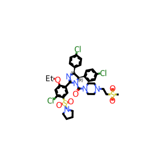 CCOc1cc(Cl)c(S(=O)(=O)N2CCCC2)cc1C1=N[C@@H](c2ccc(Cl)cc2)[C@@H](c2ccc(Cl)cc2)N1C(=O)N1CCN(CCS(C)(=O)=O)CC1